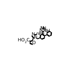 CCCCc1ncc(-c2occc2C(=O)O)n1Cc1ccc(-c2ccccc2)c(-c2nnn[nH]2)c1